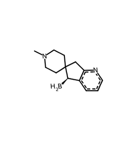 B[C@@H]1c2cccnc2CC12CCN(C)CC2